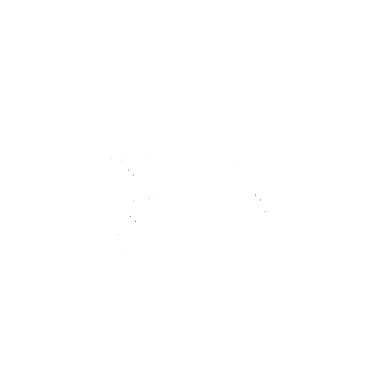 C[C@@H]1COC[C@H](C)N1Cc1ccc(COc2cccc3c2CN(C2CCCCC(=O)NC2=O)C3=O)cc1